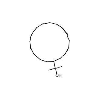 CC(C)(O)C1CCCCCCCCCCCCCCCC1